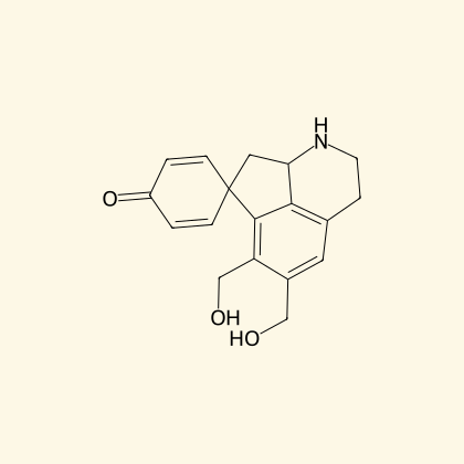 O=C1C=CC2(C=C1)CC1NCCc3cc(CO)c(CO)c2c31